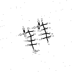 O=S(=O)([O-])C(F)(F)C(F)(F)C(F)(F)C(F)(F)F.O=S(=O)([O-])C(F)(F)C(F)(F)C(F)(F)C(F)(F)F.[Ba+2]